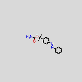 CC(C)(OC(N)=O)c1ccc(/N=N/c2ccccc2)cc1